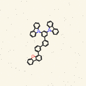 c1cc(-c2cccc(-c3cccc4c3oc3ccccc34)c2)cc(-c2cc(-n3c4ccccc4c4ccccc43)cc(-n3c4ccccc4c4ccccc43)c2)c1